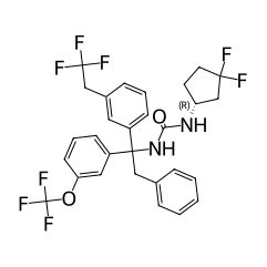 O=C(N[C@@H]1CCC(F)(F)C1)NC(Cc1ccccc1)(c1cccc(CC(F)(F)F)c1)c1cccc(OC(F)(F)F)c1